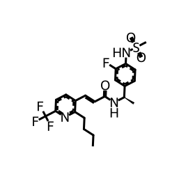 CCCCc1nc(C(F)(F)F)ccc1C=CC(=O)N[C@H](C)c1ccc(NS(C)(=O)=O)c(F)c1